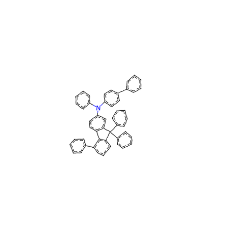 c1ccc(-c2ccc(N(c3ccccc3)c3ccc4c(c3)C(c3ccccc3)(c3ccccc3)c3cccc(-c5ccccc5)c3-4)cc2)cc1